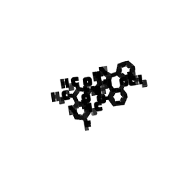 COc1cccc(OC)c1-n1c(NS(=O)(=O)C(C)C(C)c2ncc(F)cn2)nnc1-c1cccnc1